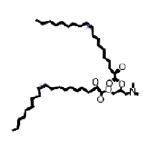 CCCCCCCC/C=C\CCCCCCCC(=O)C(=O)OCC(CN(C)C)OC(=O)C(=O)CCCCCCC/C=C\CCCCCCCC